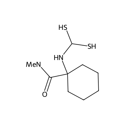 CNC(=O)C1(NC(S)S)CCCCC1